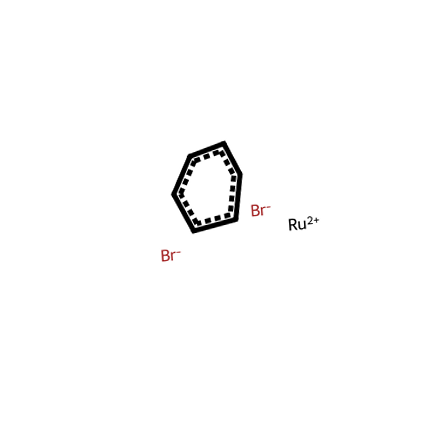 [Br-].[Br-].[Ru+2].c1ccccc1